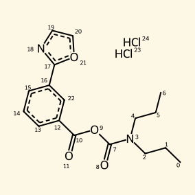 CCCN(CCC)C(=O)OC(=O)c1cccc(-c2ncco2)c1.Cl.Cl